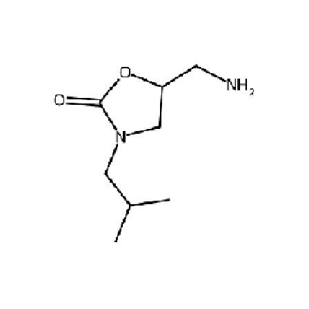 CC(C)CN1CC(CN)OC1=O